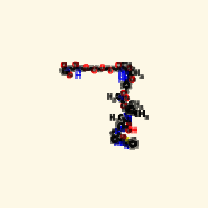 Cc1c(-c2ccc(N3CCc4cccc(C(=O)Nc5nc6ccccc6s5)c4C3)nc2C(=O)O)cnn1CC12CC3(C)CC(C)(C1)CC(OCCN(C)C(=O)OCc1ccc(NC(=O)[C@H](C)NC(=O)[C@H](C)NC(=O)CCOCCOCCOCCOCCNC(=O)CCN4C(=O)C=CC4=O)cc1)(C3)C2